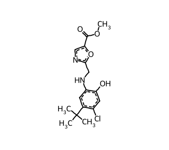 COC(=O)c1cnc(CNc2cc(C(C)(C)C)c(Cl)cc2O)o1